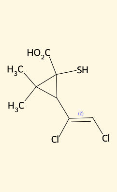 CC1(C)C(/C(Cl)=C/Cl)C1(S)C(=O)O